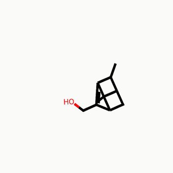 CC1C2=C(CO)C3CC1C23C